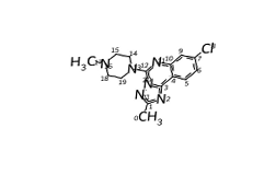 Cc1nc2c3ccc(Cl)cc3nc(N3CCN(C)CC3)n2n1